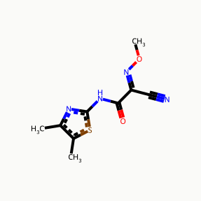 CON=C(C#N)C(=O)Nc1nc(C)c(C)s1